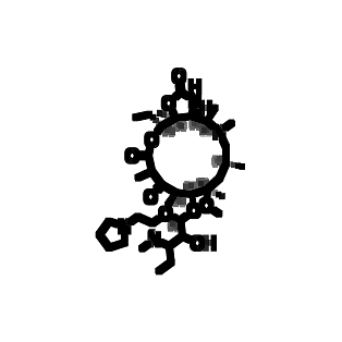 CCC(C(O)[C@@H](OCCN1CCCC1)O[C@@H]1[C@@H](C)C(=O)C(C)C(=O)O[C@H](CC)[C@@]2(C)OC(=O)N[C@@H]2[C@@H](C)N(C)C[C@H](C)C[C@@]1(C)OC)N(C)C